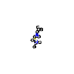 c1ccc(-c2cc(-c3ccccc3)nc(-c3cccc4c3sc3c4ccc4c3c3ccccc3n4-c3ccc4c5ccccc5c5ccccc5c4c3)c2)cc1